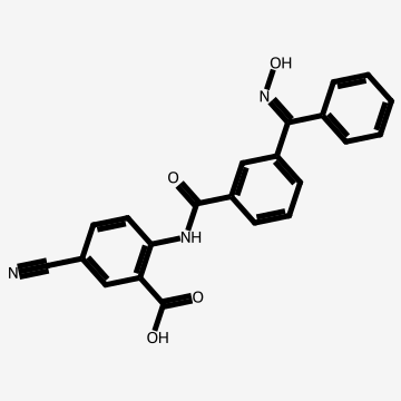 N#Cc1ccc(NC(=O)c2cccc(C(=NO)c3ccccc3)c2)c(C(=O)O)c1